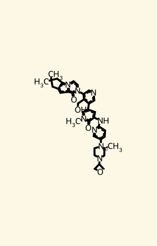 C[C@H]1CN(C2COC2)CCN1c1ccc(Nc2cc(-c3cncc(-n4ccn5c6c(cc5c4=O)CC(C)(C)C6)c3CO)cn(C)c2=O)nc1